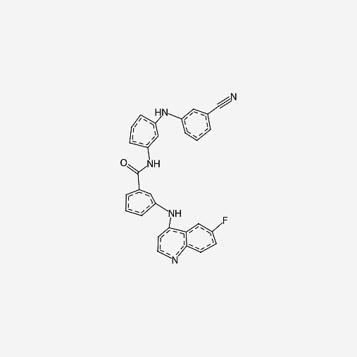 N#Cc1cccc(Nc2cccc(NC(=O)c3cccc(Nc4ccnc5ccc(F)cc45)c3)c2)c1